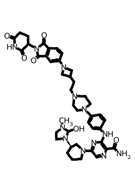 CN1CCN([C@@H]2CCCN(c3cnc(C(N)=O)c(Nc4ccc(N5CCN(CCC6CN(c7ccc8c(c7)C(=O)N(C7CCC(=O)NC7=O)C8=O)C6)CC5)cc4)n3)C2)C1O